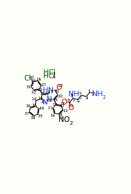 Cl.Cl.NCCCC[C@H](N)C(=O)Oc1cc([N+](=O)[O-])ccc1-c1cc(=O)[nH]c2c(-c3ccc(Cl)cc3)c(Cc3ccccc3)nn12